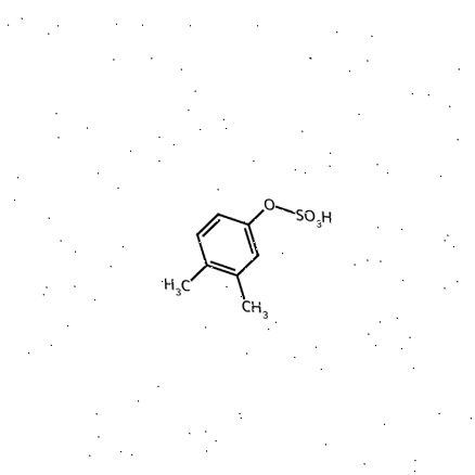 Cc1ccc(OS(=O)(=O)O)cc1C